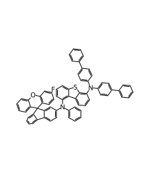 Fc1ccc2c(c1)Oc1ccccc1C21c2ccccc2-c2ccc(N(c3ccccc3)c3cccc4sc5c(N(c6ccc(-c7ccccc7)cc6)c6ccc(-c7ccccc7)cc6)cccc5c34)cc21